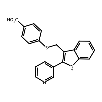 O=C(O)c1ccc(SCc2c(-c3cccnc3)[nH]c3ccccc23)cc1